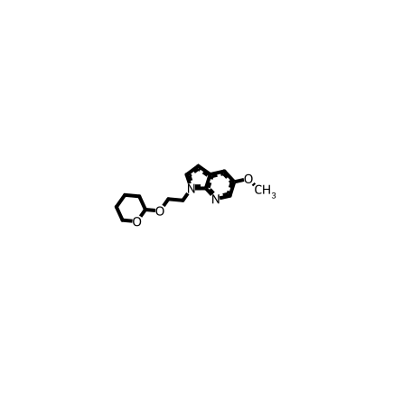 COc1cnc2c(ccn2CCOC2CCCCO2)c1